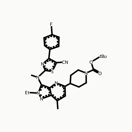 CCn1nc2c(C)cc(C3CCN(C(=O)OC(C)(C)C)CC3)nc2c1N(C)c1nc(-c2ccc(F)cc2)c(C#N)s1